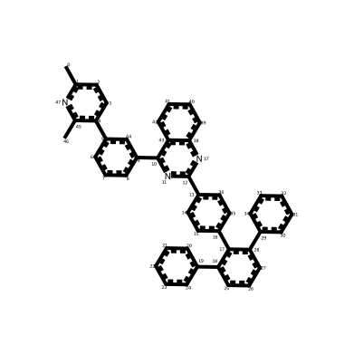 Cc1ccc(-c2cccc(-c3nc(-c4ccc(-c5c(-c6ccccc6)cccc5-c5ccccc5)cc4)nc4ccccc34)c2)c(C)n1